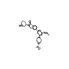 CC(=O)N1CCN(c2cc(N)nc(-c3ccc4c(c3)CN(C3CCCNC3)C4=O)c2)CC1